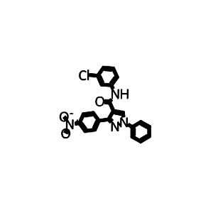 O=C(Nc1cccc(Cl)c1)c1cn(-c2ccccc2)nc1-c1ccc([N+](=O)[O-])cc1